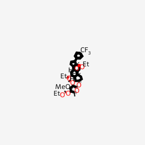 CCOCO[C@@H]1[C@H](O[C@H]2CC[C@@]3(C)[C@H](CC[C@@H]4[C@@H]3CC[C@]3(C)C(c5ccc(C(F)(F)F)cc5)=CC[C@]43OCOCC)C2)O[C@@H](C)[C@H](OCOCC)[C@H]1OC